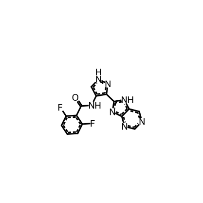 O=C(Nc1c[nH]nc1-c1nc2ncncc2[nH]1)c1c(F)cccc1F